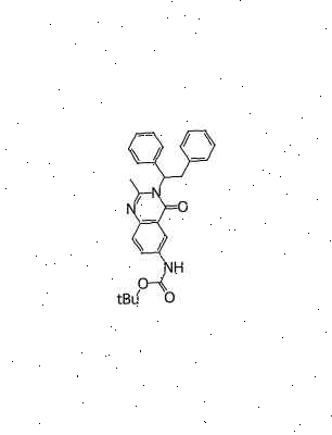 Cc1nc2ccc(NC(=O)OC(C)(C)C)cc2c(=O)n1C(Cc1ccccc1)c1ccccc1